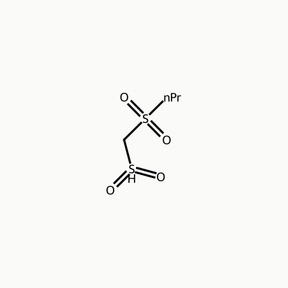 CCCS(=O)(=O)C[SH](=O)=O